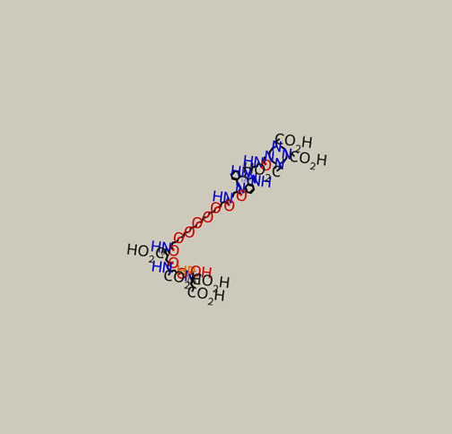 N=N/C1=C(\NCCCNC(=O)CN2CCN(CC(=O)O)CCN(CC(=O)O)CCN(CC(=O)O)CC2)c2ccccc2CN(C(=O)CCNC(=O)CCOCCOCCOCCOCCOCCC(=O)N[C@H](CCC(=O)NC(CCOCN(PO)[C@@H](CCC(=O)O)C(=O)O)C(=O)O)C(=O)O)c2ccccc21